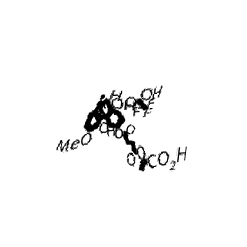 COc1ccc2c3c1O[C@H]1C(OC(=O)CCC(=O)OC(C)C(=O)O)=CC[C@@]4(O)[C@@H](C2)N(C)CC[C@]314.O=C(O)C(F)(F)F